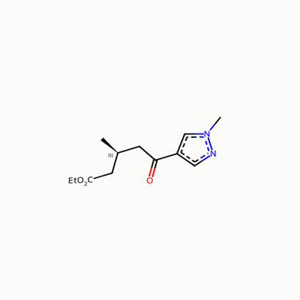 CCOC(=O)C[C@@H](C)CC(=O)c1cnn(C)c1